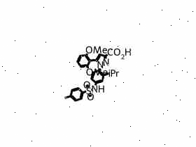 COc1cccc(OC)c1-c1cc(C(=O)O)nn1-c1ccc(NS(=O)(=O)c2ccc(C)cc2)cc1C(C)C